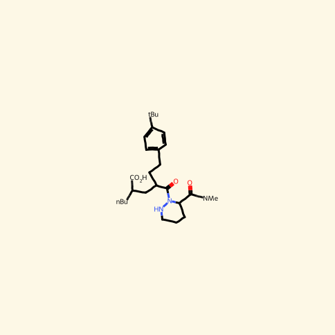 CCCCC(CC(CCc1ccc(C(C)(C)C)cc1)C(=O)N1NCCCC1C(=O)NC)C(=O)O